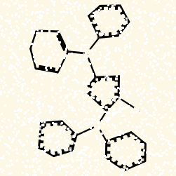 Brc1cc(N(C2=CCCC=C2)c2ccccc2)sc1N(c1ccccc1)c1ccccc1